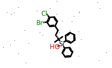 CC(C)(CCc1ccc(Cl)c(Br)c1)[Si](O)(c1ccccc1)c1ccccc1